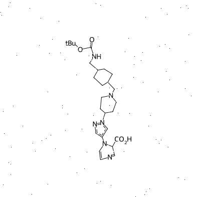 CC(C)(C)OC(=O)NCC1CCC(CN2CCC(n3cc(N4C=CN=CC4C(=O)O)cn3)CC2)CC1